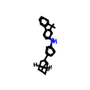 CC1(C)c2ccccc2-c2ccc(Nc3ccc(C45C[C@@H]6CC7C[C@@H](C4)C76C5)cc3)cc21